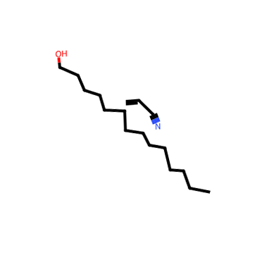 C=CC#N.CCCCCCCCCCCCCCO